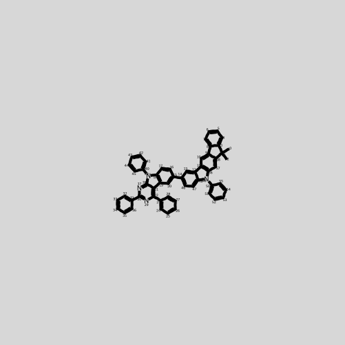 CC1(C)c2ccccc2-c2cc3c4cc(-c5ccc6c(c5)c5c(-c7ccccc7)nc(-c7ccccc7)nc5n6-c5ccccc5)ccc4n(-c4ccccc4)c3cc21